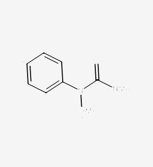 [CH2]NC(=O)N(OC)c1ccccc1